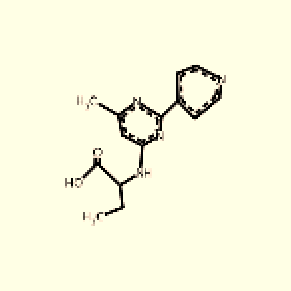 CCC(Nc1cc(C)nc(-c2ccncc2)n1)C(=O)O